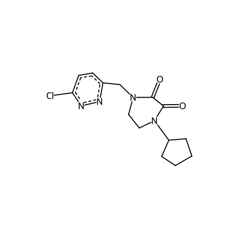 O=C1C(=O)N(C2CCCC2)CCN1Cc1ccc(Cl)nn1